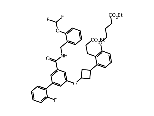 CCOC(=O)CCCOc1cccc(C2CC(Oc3cc(C(=O)NCc4ccccc4OC(F)F)cc(-c4ccccc4F)c3)C2)c1CCC(=O)OCC